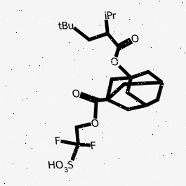 CC(C)C(CC(C)(C)C)C(=O)OC12CC3CC(C1)CC(C(=O)OCC(F)(F)S(=O)(=O)O)(C3)C2